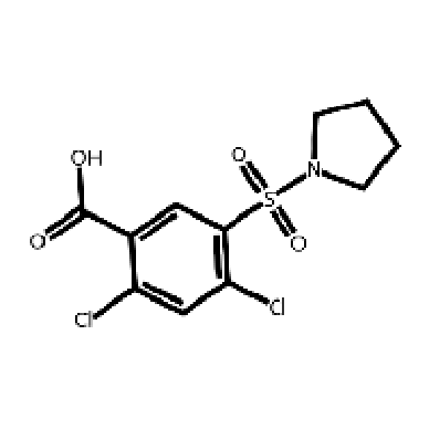 O=C(O)c1cc(S(=O)(=O)N2CCCC2)c(Cl)cc1Cl